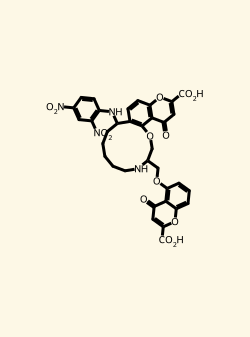 O=C(O)c1cc(=O)c2c(OCC3COc4c(ccc5oc(C(=O)O)cc(=O)c45)C(Nc4ccc([N+](=O)[O-])cc4[N+](=O)[O-])CCCCCN3)cccc2o1